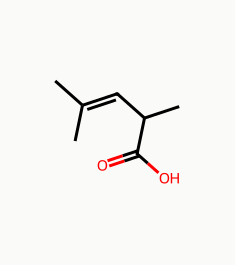 CC(C)=CC(C)C(=O)O